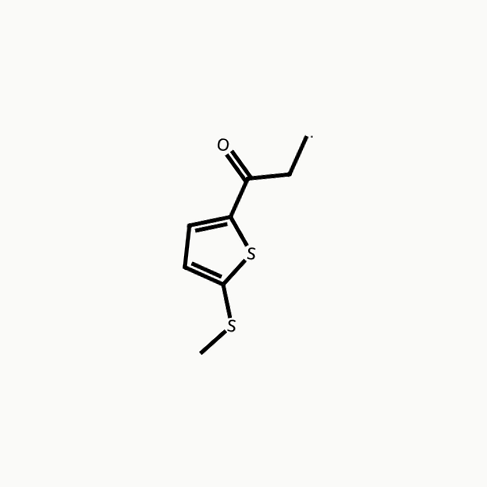 [CH2]CC(=O)c1ccc(SC)s1